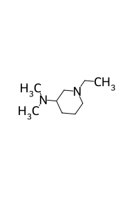 CCN1CCCC(N(C)C)C1